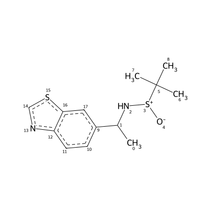 CC(N[S+]([O-])C(C)(C)C)c1ccc2ncsc2c1